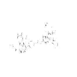 C[C@@H](O)[C@H](NC(=O)c1ccc(-c2ccc(NC(=O)[C@H](Cc3ccccc3)NC(=O)C(N)CCCN)cc2)cc1)C(=O)NO